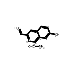 C=Cc1cc2ccc(O)cc2cn1.NC=O